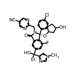 CCC(O)(c1cc(F)c2c(c1)C(=O)N(Cc1ncc(C#N)cn1)[C@@]2(OC1CCC(O)C1)c1ccc(Cl)cc1)c1cn(C)cn1